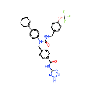 O=C(Nc1nn[nH]n1)c1ccc(CN(C(=O)NCc2ccc(OC(F)(F)F)cc2)c2ccc(C3=CCCCC3)cc2)cc1